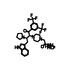 Cl.Cl.NC(=O)CN1CCN(C(C(=O)c2cc(C(F)(F)F)cc(C(F)(F)F)c2)C(Cc2c[nH]c3ccccc23)N2CCCC2)CC1